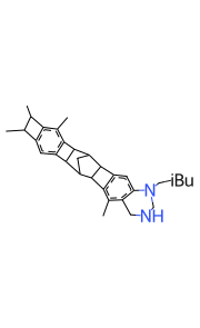 CCC(C)CN1CNCc2c1cc1c(c2C)C2C3CC(C12)C1c2c(cc4c(c2C)C(C)C4C)C31